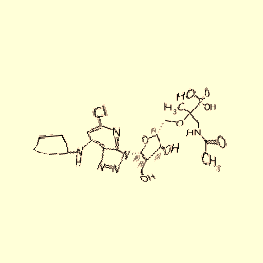 CC(=O)NCC(C)(OC[C@H]1O[C@@H](n2nnc3c(NC4CCCC4)cc(Cl)nc32)[C@H](O)[C@@H]1O)P(=O)(O)O